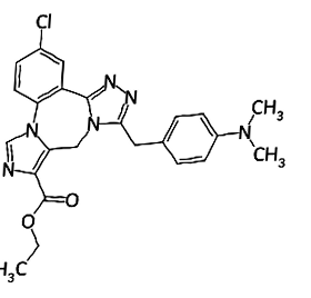 CCOC(=O)c1ncn2c1Cn1c(Cc3ccc(N(C)C)cc3)nnc1-c1cc(Cl)ccc1-2